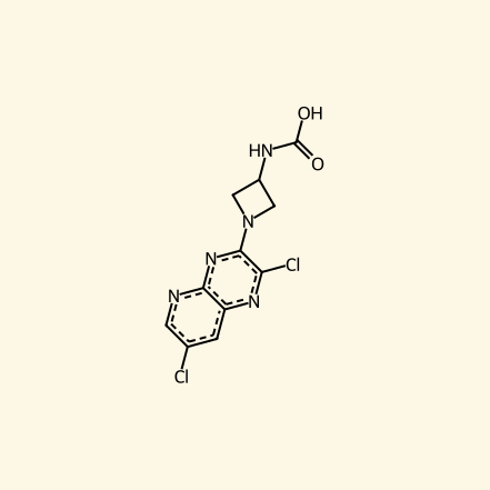 O=C(O)NC1CN(c2nc3ncc(Cl)cc3nc2Cl)C1